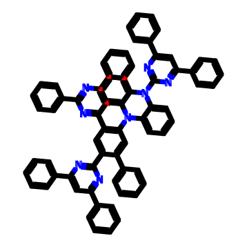 c1ccc(-c2cc(-c3cc(-c4nc(-c5ccccc5)cc(-c5ccccc5)n4)c(-c4ccccc4)cc3N3c4ccccc4N(c4nc(-c5ccccc5)cc(-c5ccccc5)n4)c4ccccc43)nc(-c3ccccc3)n2)cc1